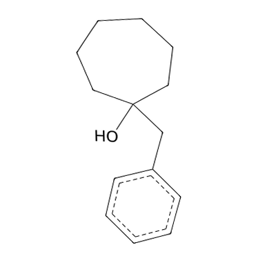 OC1(Cc2ccccc2)CCCCCC1